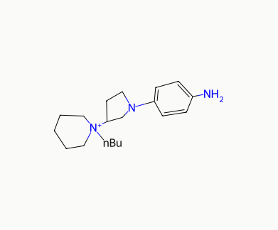 CCCC[N+]1(C2CCN(c3ccc(N)cc3)C2)CCCCC1